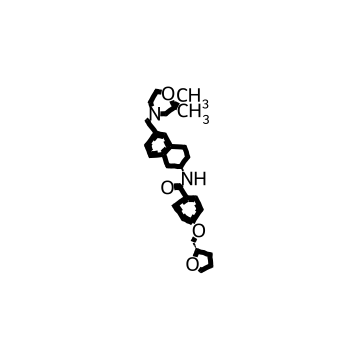 CC1(C)CN(Cc2ccc3c(c2)CC[C@H](NC(=O)c2ccc(OC[C@@H]4CCCO4)cc2)C3)CCO1